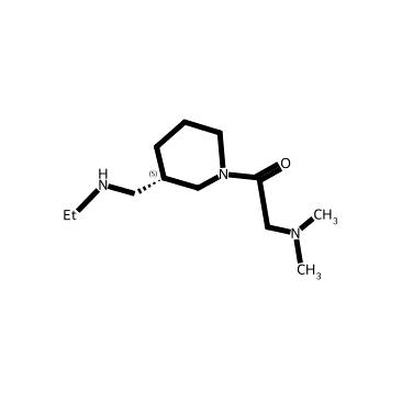 CCNC[C@@H]1CCCN(C(=O)CN(C)C)C1